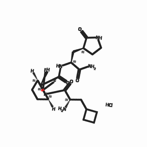 Cl.NC(=O)[C@H](C[C@@H]1CCNC1=O)NC(=O)[C@H]1[C@@H]2CC[C@@H](CC2(F)F)N1C(=O)[C@@H](N)CC1CCC1